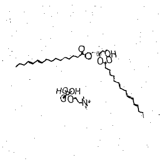 CCCC=CC=CCCCCCCCCC(=O)OC[C@H](CO)OC(=O)CCCCCCCCC=CC=CCCC.C[N+](C)(C)CCOP(=O)(O)O